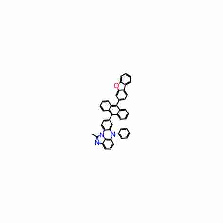 Cc1nc2cccc3c2n1-c1ccc(-c2c4ccccc4c(-c4ccc5c(c4)oc4ccccc45)c4ccccc24)cc1N3c1ccccc1